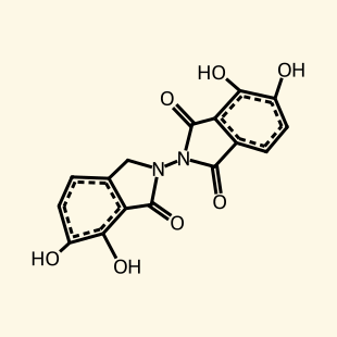 O=C1c2c(ccc(O)c2O)CN1N1C(=O)c2ccc(O)c(O)c2C1=O